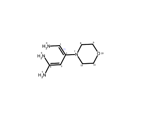 N/C=C(\C=C(N)N)N1CCOCC1